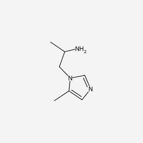 Cc1cncn1CC(C)N